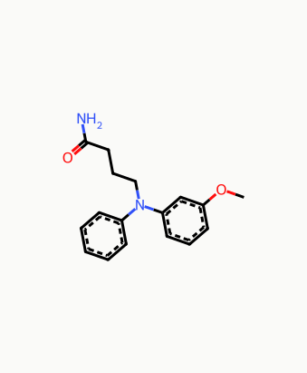 COc1cccc(N(CCCC(N)=O)c2ccccc2)c1